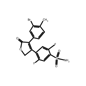 Cc1ccc(C2=C(c3cc(F)c(S(N)(=O)=O)cc3F)COC2=O)cc1Br